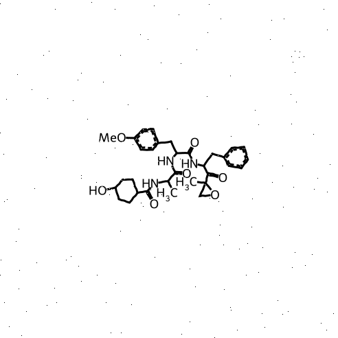 COc1ccc(CC(NC(=O)C(C)NC(=O)C2CCC(O)CC2)C(=O)NC(Cc2ccccc2)C(=O)C2(C)CO2)cc1